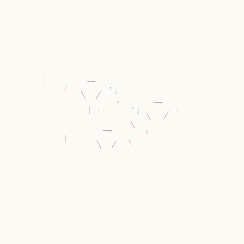 COc1ccc(NC(=O)Cn2cc(C(=O)c3ccc(C)c(C)c3)c(=O)c3cc4c(cc32)OCO4)c(C)c1